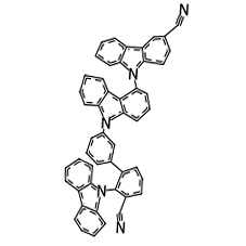 N#Cc1ccc2c(c1)c1ccccc1n2-c1cccc2c1c1ccccc1n2-c1cccc(-c2cccc(C#N)c2-n2c3ccccc3c3ccccc32)c1